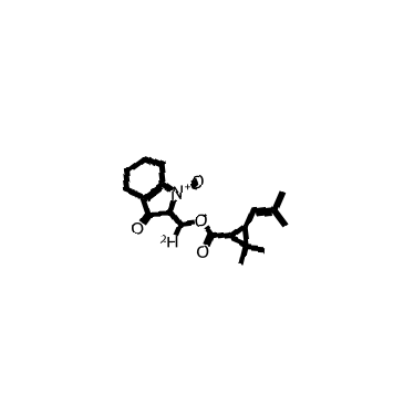 [2H]C(OC(=O)C1C(C=C(C)C)C1(C)C)C1C(=O)C2=C(CCCC2)[N+]1=O